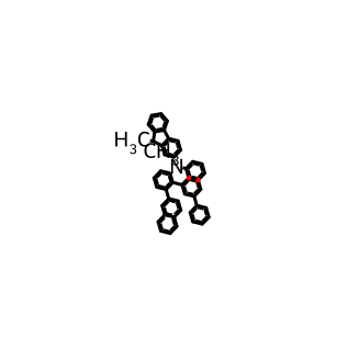 CC1(C)c2ccccc2-c2ccc(N(c3ccccc3)c3cccc(-c4ccc5ccccc5c4)c3-c3cccc(-c4ccccc4)c3)cc21